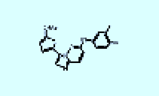 COc1ccc(-c2cnc3ccc(Nc4ccc(C)c(C)c4)nn23)s1